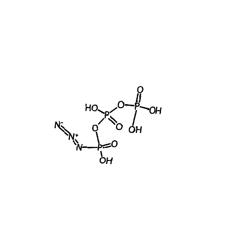 [N-]=[N+]=NP(=O)(O)OP(=O)(O)OP(=O)(O)O